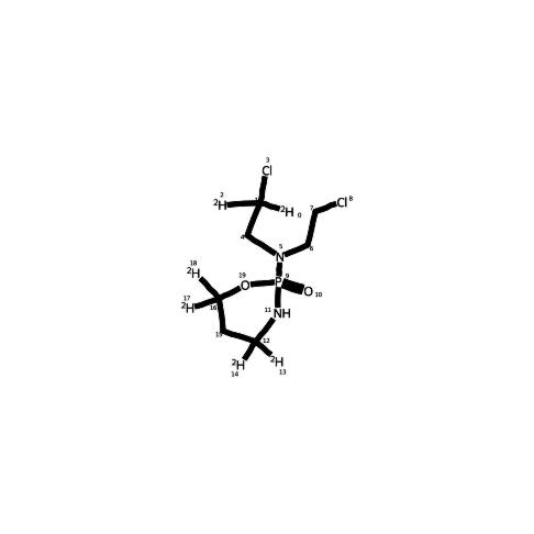 [2H]C([2H])(Cl)CN(CCCl)P1(=O)NC([2H])([2H])CC([2H])([2H])O1